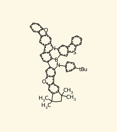 CC(C)(C)c1ccc(N2B3c4cc5sc6ccccc6c5cc4-n4c5cc6oc7ccccc7c6cc5c5ccc(c3c54)-c3cc4oc5cc6c(cc5c4cc32)C(C)(C)CCC6(C)C)cc1